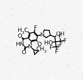 COc1c(N2CCC(C(O)C(O)(C(F)(F)F)C(F)(F)F)C2)c(F)c(C)c2c(=O)[nH]c(=O)n(C3CC3)c12